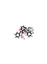 CC(C)(O[Si](c1ccccc1)(c1ccccc1)[Si](C)(C)C)C(=O)c1ccccc1